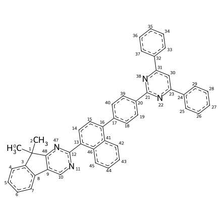 CC1(C)c2ccccc2-c2cnc(-c3ccc(-c4ccc(-c5nc(-c6ccccc6)cc(-c6ccccc6)n5)cc4)c4ccccc34)nc21